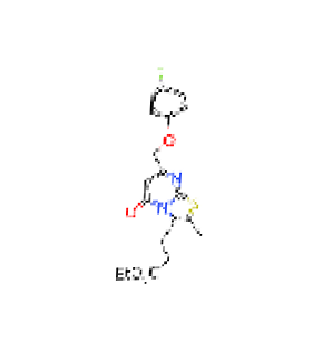 CCOC(=O)CCc1c(C)sc2nc(COc3ccc(F)cc3)cc(=O)n12